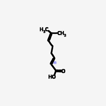 CC(C)=CCC/C=C/C(=O)O